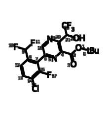 CC(C)(C)OC(=O)c1nc(-c2c(C(F)F)ccc(Cl)c2F)cnc1C(O)C(F)(F)F